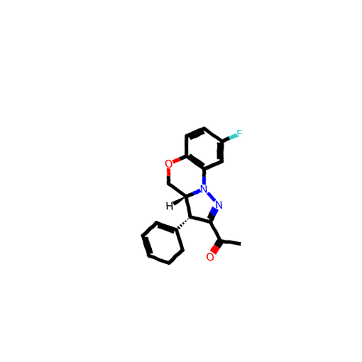 CC(=O)C1=NN2c3cc(F)ccc3OC[C@H]2[C@H]1C1=CC=CCC1